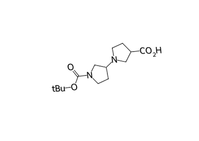 CC(C)(C)OC(=O)N1CCC(N2CCC(C(=O)O)C2)C1